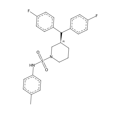 Cc1ccc(NS(=O)(=O)N2CCC[C@H](C(c3ccc(F)cc3)c3ccc(F)cc3)C2)cc1